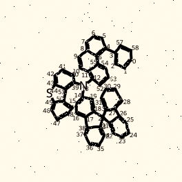 c1ccc(-c2cccc3ccc4c(N(c5ccc6c(c5)C5(c7ccccc7-c7ccccc75)c5ccccc5-6)c5cccc6sc7ccccc7c56)cccc4c23)cc1